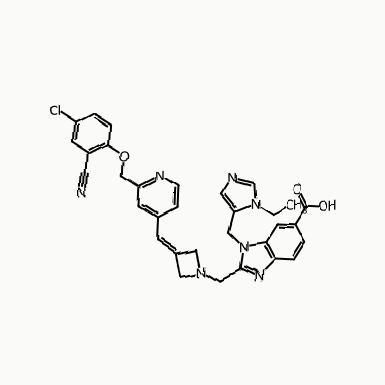 CCn1cncc1Cn1c(CN2CC(=Cc3ccnc(COc4ccc(Cl)cc4C#N)c3)C2)nc2ccc(C(=O)O)cc21